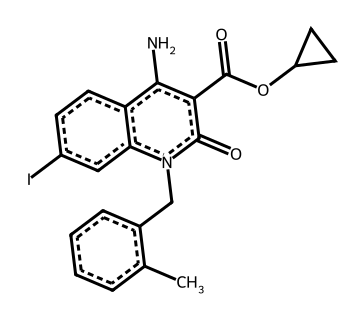 Cc1ccccc1Cn1c(=O)c(C(=O)OC2CC2)c(N)c2ccc(I)cc21